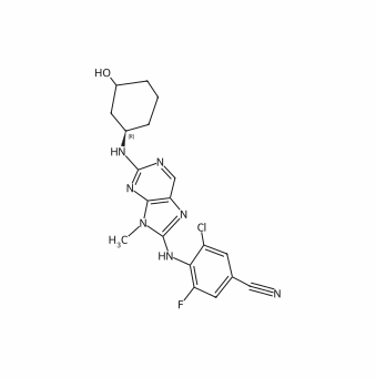 Cn1c(Nc2c(F)cc(C#N)cc2Cl)nc2cnc(N[C@@H]3CCCC(O)C3)nc21